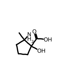 CC1(N)CCCC1(O)C(=O)O